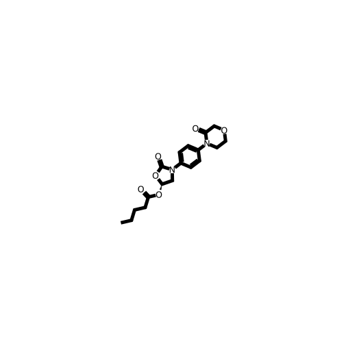 CCCCC(=O)O[C@H]1CN(c2ccc(N3CCOCC3=O)cc2)C(=O)O1